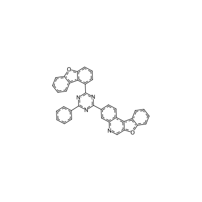 c1ccc(-c2nc(-c3ccc4c(c3)ncc3oc5ccccc5c34)nc(-c3cccc4oc5ccccc5c34)n2)cc1